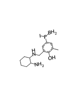 BP(I)c1cc(C)c(O)c(CNC2CCCCC2N)c1